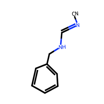 N#CN=CNCc1ccccc1